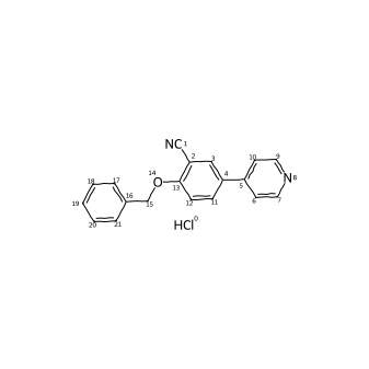 Cl.N#Cc1cc(-c2ccncc2)ccc1OCc1ccccc1